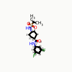 CC(C)S(=O)(=O)N[C@H]1CC[C@H](C(=O)Nc2cc(F)cc(F)c2)CC1